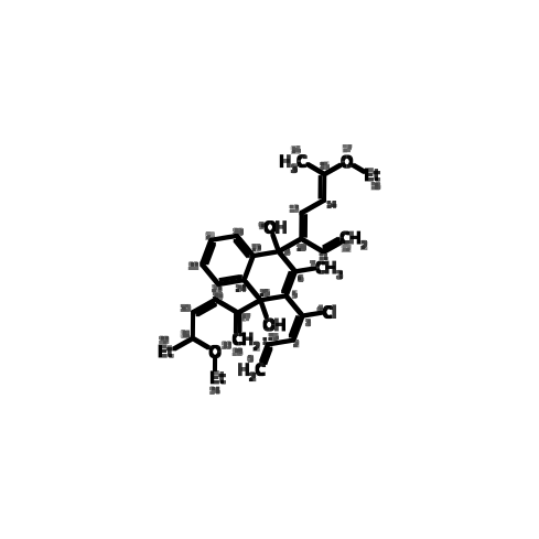 C=C/C=C(/Cl)C1=C(C)C(O)(/C(C=C)=C/C=C(\C)OCC)c2ccccc2C1(O)C(=C)/C=C\C(CC)OCC